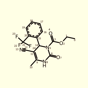 CCOC(=O)N1C(=O)NC(C)=C(C#N)C1c1ccccc1C(F)(F)F